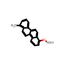 CCCCCCCCOc1cccc2c1ccc1c3cccc(C)c3ccc21